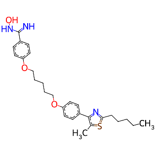 CCCCCc1nc(-c2ccc(OCCCCCOc3ccc(C(=N)NO)cc3)cc2)c(C)s1